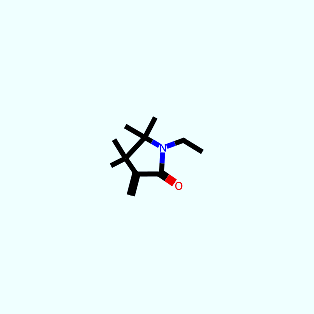 C=C1C(=O)N(CC)C(C)(C)C1(C)C